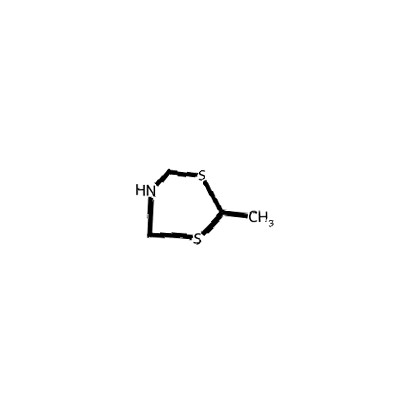 CC1SCNCS1